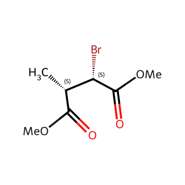 COC(=O)[C@@H](Br)[C@@H](C)C(=O)OC